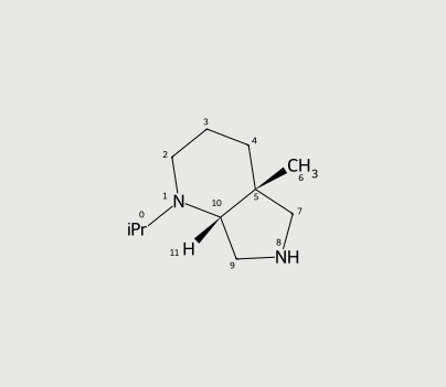 CC(C)N1CCC[C@]2(C)CNC[C@H]12